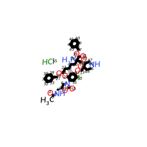 CC(=O)NC[C@H]1CN(c2ccc(OCC3(OC(=O)C(N)(CCCCC(=O)OCc4ccccc4)C(=O)OCc4ccccc4)CCNCC3)c(F)c2)C(=O)O1.Cl